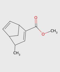 COC(=O)C1=CC(C)C2C=CC1C2